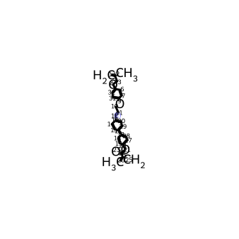 C=C(C)COc1ccc(OC/C=C/c2ccc(-c3ccc(OC(=O)C(=C)C)cc3)cc2)cc1